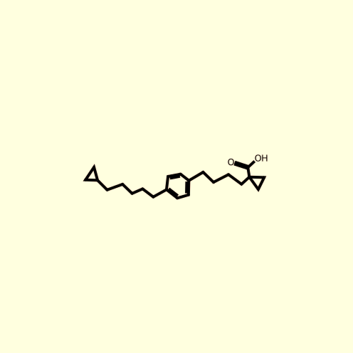 O=C(O)C1(CCCCc2ccc(CCCCCC3CC3)cc2)CC1